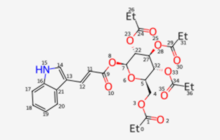 CCC(=O)OC[C@H]1O[C@@H](OC(=O)/C=C/c2c[nH]c3ccccc23)[C@H](OC(=O)CC)[C@@H](OC(=O)CC)[C@@H]1OC(=O)CC